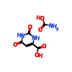 NC(=O)O.O=C(O)c1cc(=O)[nH]c(=O)[nH]1